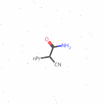 CCCC(C#N)C(N)=O